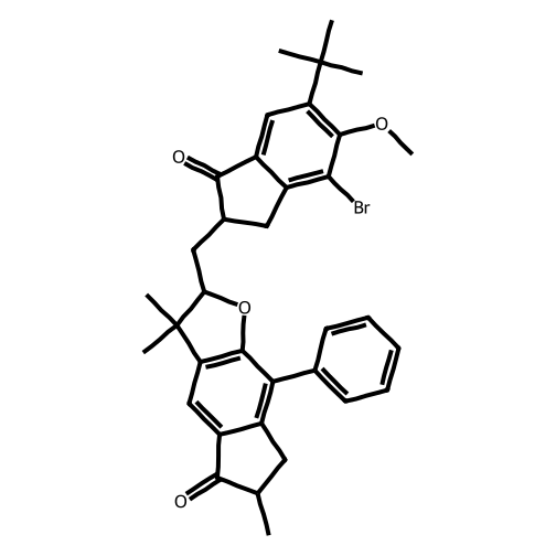 COc1c(C(C)(C)C)cc2c(c1Br)CC(CC1Oc3c(cc4c(c3-c3ccccc3)CC(C)C4=O)C1(C)C)C2=O